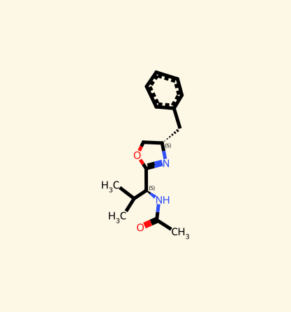 CC(=O)N[C@H](C1=N[C@@H](Cc2ccccc2)CO1)C(C)C